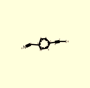 N#Cc1ccc(C#CI)cc1